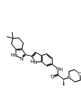 C[C@@H](C(=O)Nc1ccc2cc(-c3n[nH]c4c3CCC(C)(C)C4)[nH]c2c1)N1CCOCC1